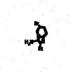 CCc1nc2ccc(Br)cn2c1N